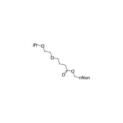 CCCCCCCCCCOC(=O)CCCOCCOC(C)C